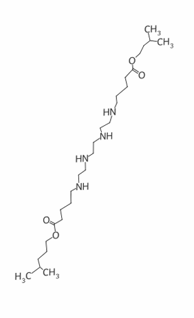 CC(C)CCCOC(=O)CCCCNCCNCCNCCNCCCCC(=O)OCCC(C)C